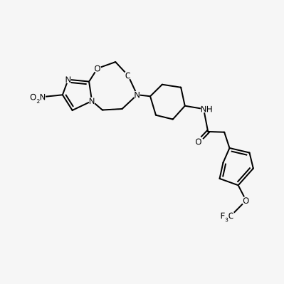 O=C(Cc1ccc(OC(F)(F)F)cc1)NC1CCC(N2CCOc3nc([N+](=O)[O-])cn3CC2)CC1